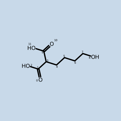 O=C(O)C(CCCCO)C(=O)O